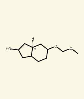 COCOC1CCC2CC(O)C[C@H]2C1